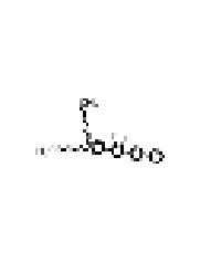 CCCCCCCCC1(CCCCCCC)C=CC(c2ccc(-c3ccc(-c4ccccc4)cc3)c(F)c2F)=CC1